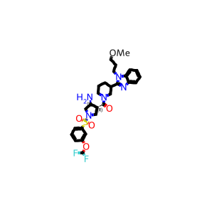 COCCCn1c(C2CCCN(C(=O)[C@@H]3CN(S(=O)(=O)c4cccc(OC(F)F)c4)C[C@H]3N)C2)nc2ccccc21